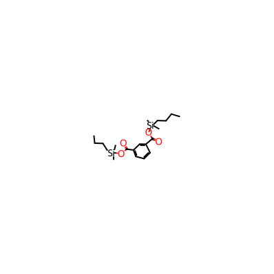 CCCC[Si](C)(C)OC(=O)c1cccc(C(=O)O[Si](C)(C)CCCC)c1